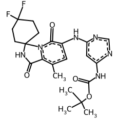 Cc1cc(Nc2cc(NC(=O)OC(C)(C)C)ncn2)c(=O)n2c1C(=O)NC21CCC(F)(F)CC1